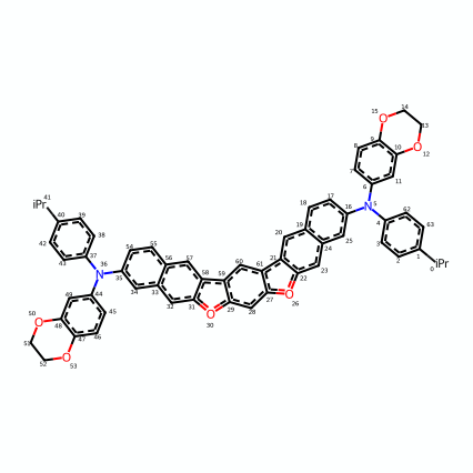 CC(C)c1ccc(N(c2ccc3c(c2)OCCO3)c2ccc3cc4c(cc3c2)oc2cc3oc5cc6cc(N(c7ccc(C(C)C)cc7)c7ccc8c(c7)OCCO8)ccc6cc5c3cc24)cc1